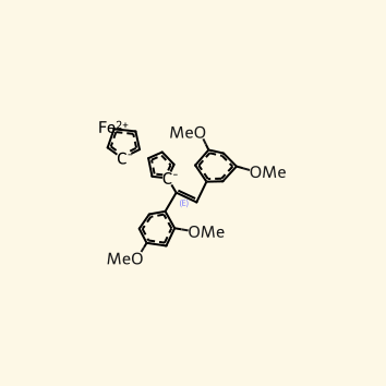 COc1cc(/C=C(/c2ccc(OC)cc2OC)[c-]2cccc2)cc(OC)c1.[Fe+2].c1cc[cH-]c1